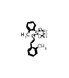 CCO[Si](OCC)(OCCc1ccccc1C)c1ccccc1C